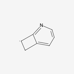 [CH]1Cc2cccnc21